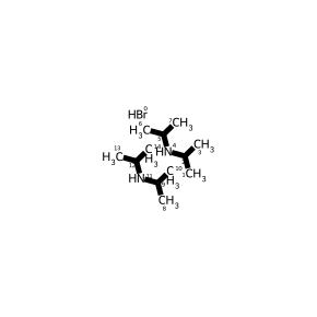 Br.CC(C)NC(C)C.CC(C)NC(C)C